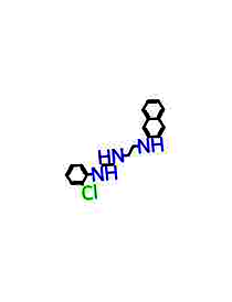 Clc1ccccc1NCCNCCNc1ccc2ccccc2c1